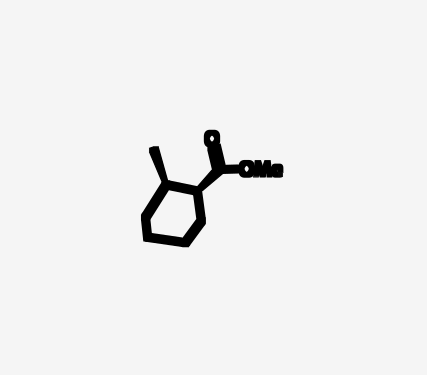 COC(=O)[C@H]1CCCC[C@H]1C